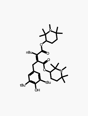 CCCC/C(C(=O)OC1CCC(C)(C)N(C)C1(C)C)=C(\Cc1cc(C(C)(C)C)c(O)c(C(C)(C)C)c1)C(=O)OC1CCC(C)(C)N(C)C1(C)C